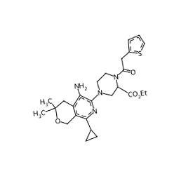 CCOC(=O)C1CN(c2nc(C3CC3)c3c(c2N)CC(C)(C)OC3)CCN1C(=O)Cc1cccs1